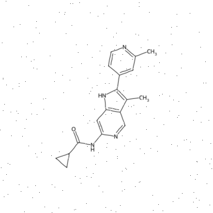 Cc1cc(-c2[nH]c3cc(NC(=O)C4CC4)ncc3c2C)ccn1